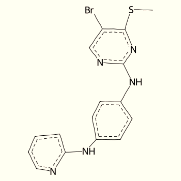 CSc1nc(Nc2ccc(Nc3ccccn3)cc2)ncc1Br